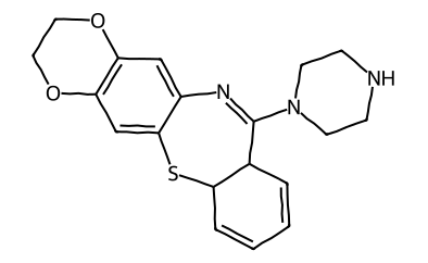 C1=CC2Sc3cc4c(cc3N=C(N3CCNCC3)C2C=C1)OCCO4